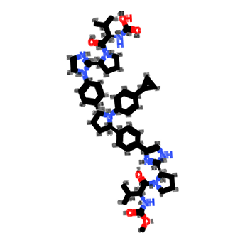 COC(=O)N[C@H](C(=O)N1CCC[C@H]1c1nc(-c2ccc([C@H]3CC[C@H](c4ccc(-n5ccnc5[C@@H]5CCCN5C(=O)[C@@H](NC(=O)O)C(C)C)cc4)N3c3ccc(C4CC4)cc3)cc2)c[nH]1)C(C)C